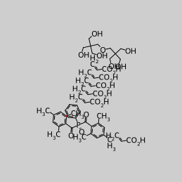 C=CC(=O)O.C=CC(=O)O.C=CC(=O)O.C=CC(=O)O.C=CC(=O)O.C=CC(=O)O.Cc1cc(C)c(C(=O)P(=O)(C(=O)c2c(C)cc(C)cc2C)c2ccccc2)c(C)c1.OCC(CO)(CO)COCC(CO)(CO)CO